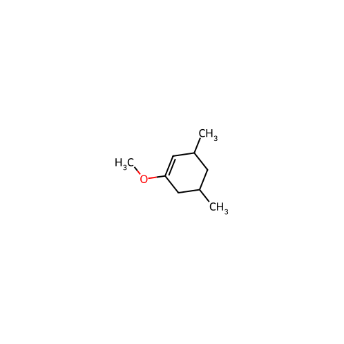 COC1=CC(C)CC(C)C1